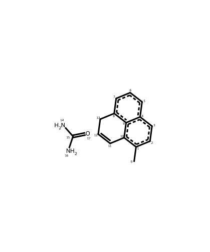 Cc1ccc2cccc3c2c1C=CC3.NC(N)=O